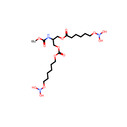 CC(C)(C)OC(=O)NC(COC(=O)CCCCCON(O)O)COC(=O)OCCCCCCON(O)O